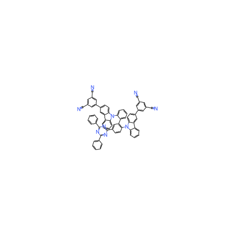 N#Cc1cc(C#N)cc(-c2ccc3c(c2)c2ccccc2n3-c2ccccc2-c2cc(-c3nc(-c4ccccc4)nc(-c4ccccc4)n3)ccc2-n2c3ccccc3c3cc(-c4cc(C#N)cc(C#N)c4)ccc32)c1